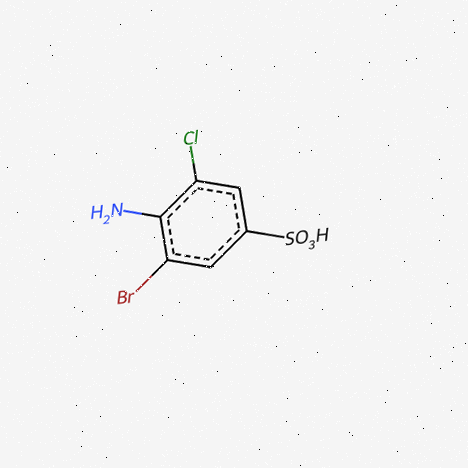 Nc1c(Cl)cc(S(=O)(=O)O)cc1Br